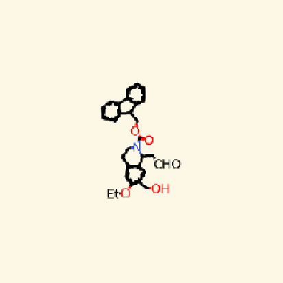 CCOc1cc2c(cc1CO)C(CC=O)N(C(=O)OCC1c3ccccc3-c3ccccc31)CC2